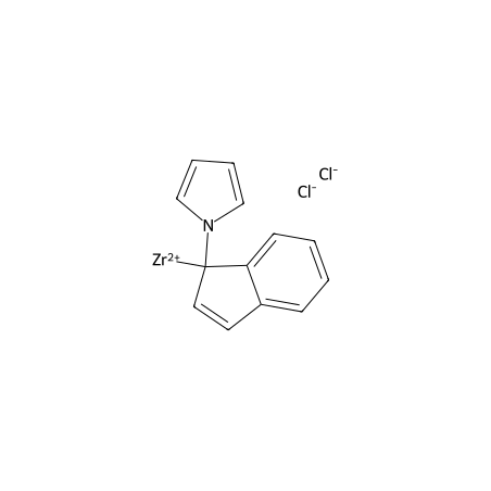 [Cl-].[Cl-].[Zr+2][C]1(n2cccc2)C=Cc2ccccc21